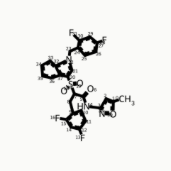 Cc1cc(NC(=O)C(Cc2ccc(F)cc2F)S(=O)(=O)c2cn(Cc3ccc(F)cc3F)c3ccccc23)no1